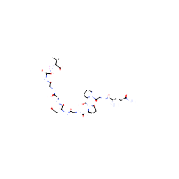 CC(C)[C@H](NC(=O)[C@H](CO)NC(=O)CNC(=O)CNC(=O)[C@H](CC(=O)O)NC(=O)CNC(=O)[C@@H]1CCCN1C(=O)[C@@H]1CCCN1C(=O)CNC(=O)[C@@H](N)CCC(N)=O)C(=O)O